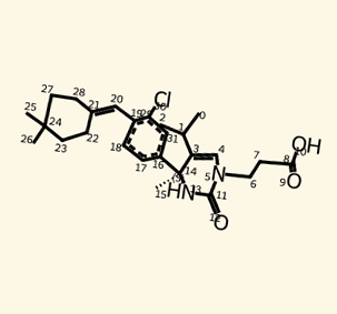 CC(C)C1=CN(CCC(=O)O)C(=O)N[C@@]1(C)c1ccc(C=C2CCC(C)(C)CC2)c(Cl)c1